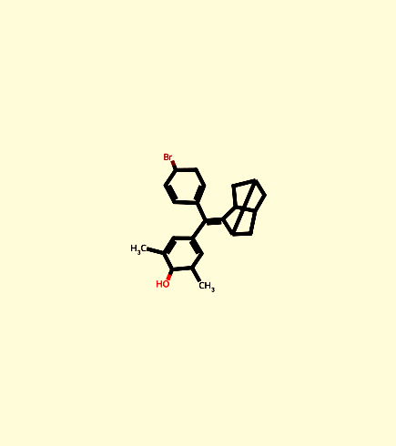 CC1=CC(C(C2=CCC(Br)C=C2)=C2C3CC4CC3CC24)=CC(C)C1O